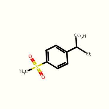 CCC(C(=O)O)c1ccc(S(C)(=O)=O)cc1